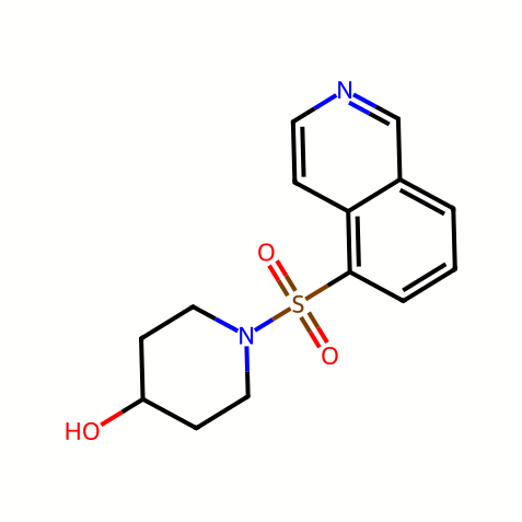 O=S(=O)(c1cccc2cnccc12)N1CCC(O)CC1